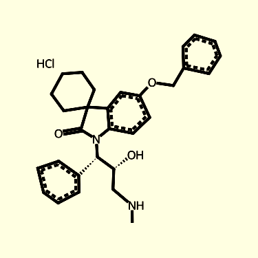 CNC[C@@H](O)[C@H](c1ccccc1)N1C(=O)C2(CCCCC2)c2cc(OCc3ccccc3)ccc21.Cl